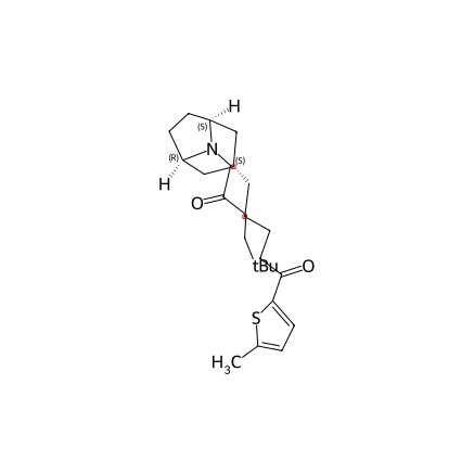 Cc1ccc(C(=O)CCCC[C@@H]2C[C@H]3CC[C@@H](C2)N3CC(=O)CCC(C)(C)C)s1